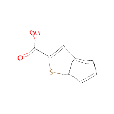 O=C(O)C1=CC2=CC=CC2S1